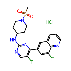 CS(=O)(=O)N1CCC(Nc2ncc(F)c(-c3cc(F)c4ncccc4c3)n2)CC1.Cl